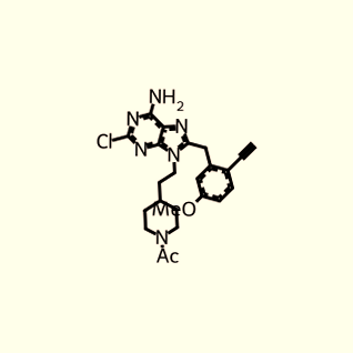 C#Cc1ccc(OC)cc1Cc1nc2c(N)nc(Cl)nc2n1CCC1CCN(C(C)=O)CC1